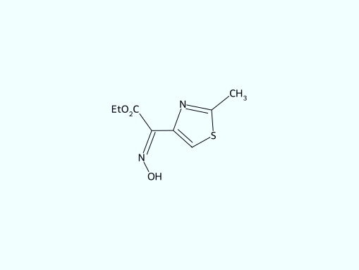 CCOC(=O)/C(=N/O)c1csc(C)n1